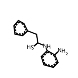 Nc1ccccc1NC(S)Cc1ccccc1